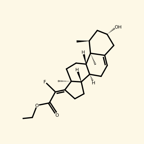 CCOC(=O)C(F)=C1CC[C@H]2[C@@H]3CC=C4C[C@@H](O)C[C@H](C)[C@]4(C)[C@H]3CC[C@]12C